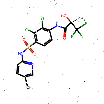 Cc1ccc(NS(=O)(=O)c2ccc(NC(=O)[C@@](C)(O)C(F)(F)F)c(Cl)c2Cl)nc1